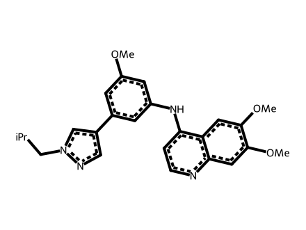 COc1cc(Nc2ccnc3cc(OC)c(OC)cc23)cc(-c2cnn(CC(C)C)c2)c1